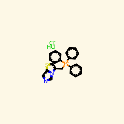 Cl.[Cl-].c1ccc([P+](Cc2csc3cncn23)(c2ccccc2)c2ccccc2)cc1